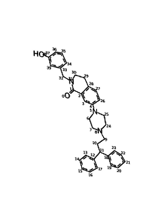 O=C1c2cc(N3CCN(CCC(c4ccccc4)c4ccccc4)CC3)ccc2CCN1Cc1cccc(O)c1